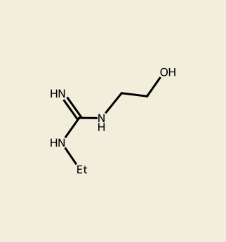 CCNC(=N)NCCO